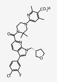 Cc1cc(N2CCN(C(=O)c3ccc4c(-c5ccc(Cl)c(F)c5)cn(C[C@@H]5CCOC5)c4n3)C(C)(C)C2)nc(C)c1C(=O)O